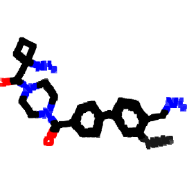 CNc1cc(-c2ccc(C(=O)N3CCN(C(=O)C4(N)CCC4)CC3)cc2)ccc1CN